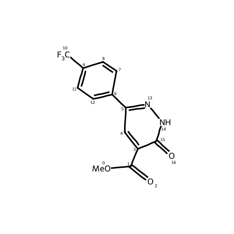 COC(=O)c1cc(-c2ccc(C(F)(F)F)cc2)n[nH]c1=O